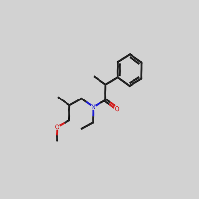 CCN(CC(C)COC)C(=O)C(C)c1ccccc1